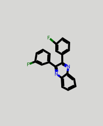 Fc1cccc(-c2nc3ccccc3nc2-c2cccc(F)c2)c1